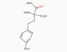 CCCCCCCCc1ccc(CCC(NC(C)=O)(C(=O)OC)C(=O)OCC)cc1